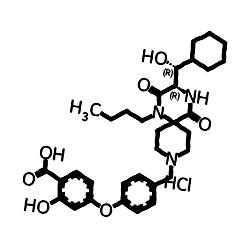 CCCCN1C(=O)[C@@H]([C@H](O)C2CCCCC2)NC(=O)C12CCN(Cc1ccc(Oc3ccc(C(=O)O)c(O)c3)cc1)CC2.Cl